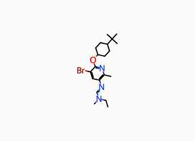 CCN(C)/C=N/c1cc(Br)c(OC2CCC(C(C)(C)C)CC2)nc1C